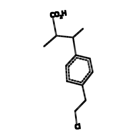 CC(C(=O)O)C(C)c1ccc(CCCl)cc1